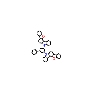 c1ccc(-c2cc(-n3c4ccccc4c4c5oc6ccccc6c5ccc43)cc(-n3c4ccccc4c4c5oc6ccccc6c5ccc43)c2)cc1